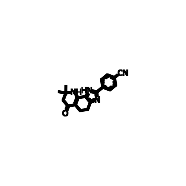 CC1(C)CC(=O)C2=C(N1)c1[nH]c(-c3ccc(C#N)cc3)nc1CC2